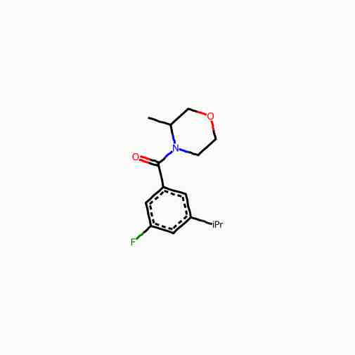 CC(C)c1cc(F)cc(C(=O)N2CCOCC2C)c1